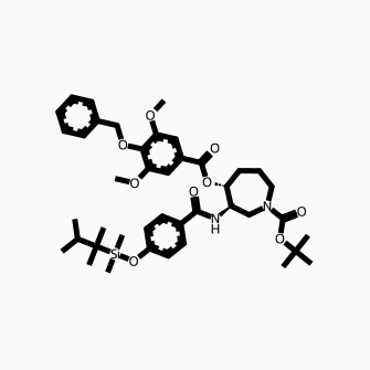 COc1cc(C(=O)O[C@@H]2CCCN(C(=O)OC(C)(C)C)C[C@H]2NC(=O)c2ccc(O[Si](C)(C)C(C)(C)C(C)C)cc2)cc(OC)c1OCc1ccccc1